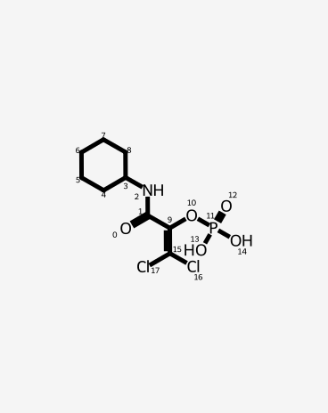 O=C(NC1CCCCC1)C(OP(=O)(O)O)=C(Cl)Cl